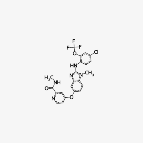 CNC(=O)c1cc(Oc2ccc3c(c2)nc(Nc2ccc(Cl)cc2OC(F)(F)F)n3C)ccn1